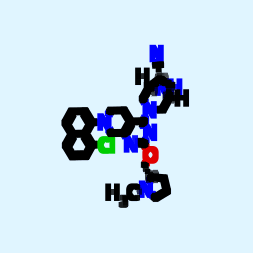 CN1CCC[C@H]1COc1nc2c(c(N3C[C@H]4C[C@@H](C#N)[C@@H](C3)N4)n1)CCN(c1cccc3cccc(Cl)c13)C2